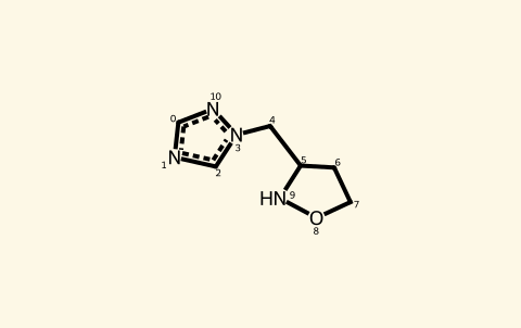 c1ncn(CC2CCON2)n1